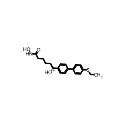 CCSc1ccc(-c2ccc([C@H](O)CCCCC(=O)NO)cc2)cc1